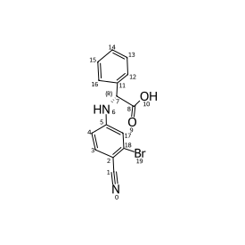 N#Cc1ccc(N[C@@H](C(=O)O)c2ccccc2)cc1Br